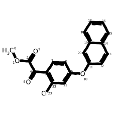 COC(=O)C(=O)c1ccc(Oc2ccc3ccccc3c2)cc1Cl